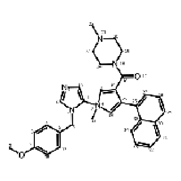 COc1ccc(Cn2cncc2[N+]2(C)C=C(C(=O)N3CCN(C)CC3)C(c3cccc4ccccc34)=C2)cc1